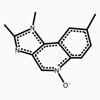 Cc1ccc2c(c1)c1c(c[n+]2[O-])nc(C)n1C